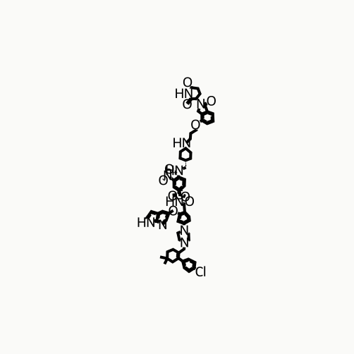 CC1(C)CCC(CN2CCN(c3ccc(C(=O)NS(=O)(=O)c4ccc(NC[C@H]5CC[C@H](NCCCOc6cccc7c6CN(C6CCC(=O)NC6=O)C7=O)CC5)c([N+](=O)[O-])c4)c(Oc4cnc5[nH]ccc5c4)c3)CC2)=C(c2ccc(Cl)cc2)C1